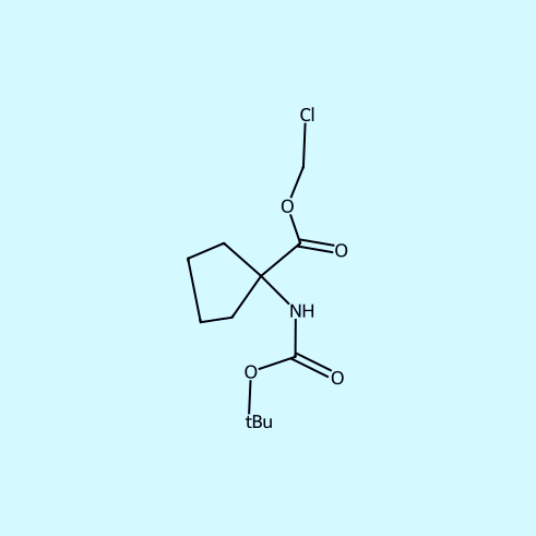 CC(C)(C)OC(=O)NC1(C(=O)OCCl)CCCC1